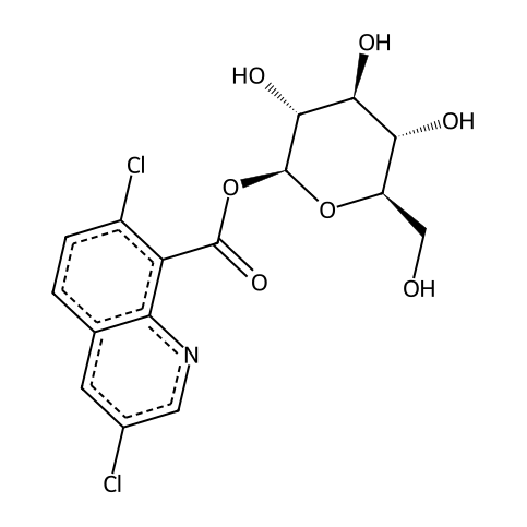 O=C(O[C@@H]1O[C@H](CO)[C@@H](O)[C@H](O)[C@H]1O)c1c(Cl)ccc2cc(Cl)cnc12